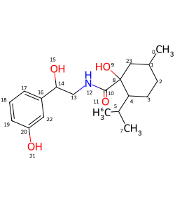 CC1CCC(C(C)C)C(O)(C(=O)NCC(O)c2cccc(O)c2)C1